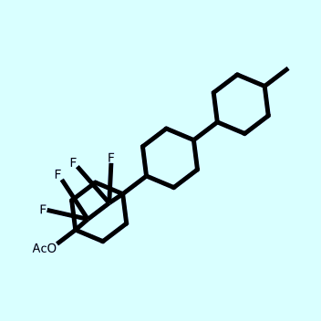 CC(=O)OC12CCC(C3CCC(C4CCC(C)CC4)CC3)(CC1)C(F)(F)C2(F)F